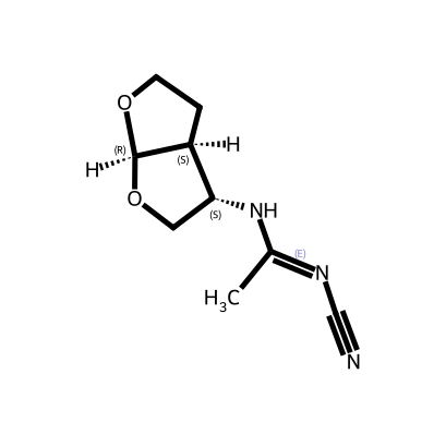 C/C(=N\C#N)N[C@@H]1CO[C@H]2OCC[C@H]21